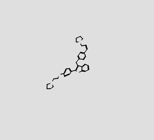 C(=C/c1ccc(Cc2c(-c3ccc(OCCN4CCCC4)cc3)sc3ccccc23)cc1)/CN1CCCC1